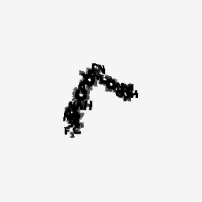 [2H]C([2H])=C([2H])C(=O)Nc1ccc(CCn2c(C#N)cc3c(C)c(CN4CCC(Nc5ncnc6sc(CC(F)(F)F)cc56)CC4)ccc32)cc1